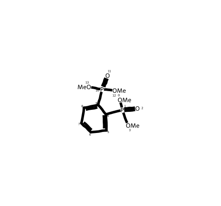 COP(=O)(OC)c1ccccc1P(=O)(OC)OC